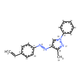 C=Cc1ccc(N=Nc2cn(-c3ccccc3)nc2C)cc1